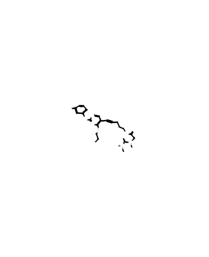 CCCNc1nc(Nc2cccc(Cl)c2)ncc1C#CCCCNC(=O)[C@H](C)N(C)C(C)N(C)C